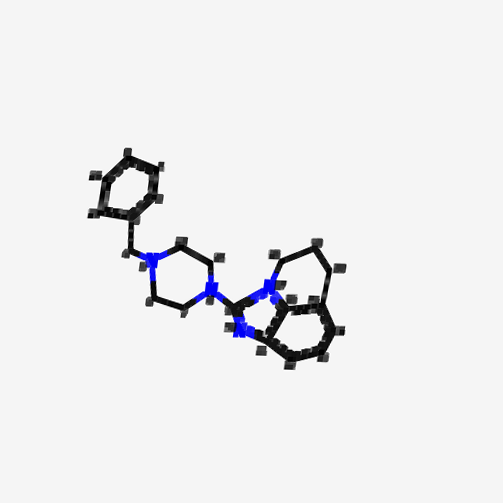 c1ccc(CN2CCN(c3nc4cccc5c4n3CCC5)CC2)cc1